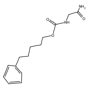 NC(=O)CNC(=O)OCCCCCc1ccccc1